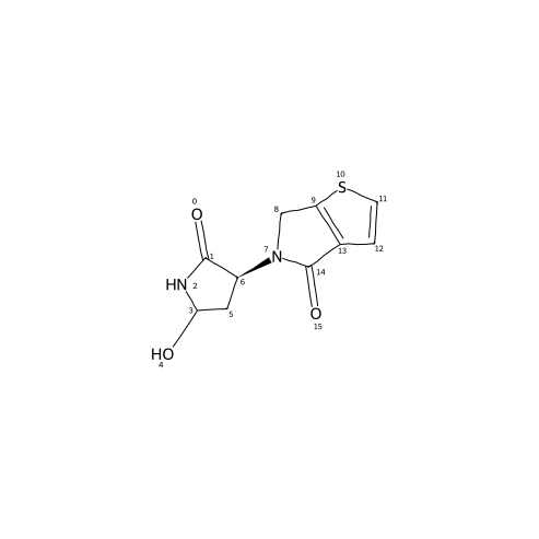 O=C1NC(O)C[C@@H]1N1Cc2sccc2C1=O